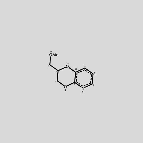 COCC1COc2ncccc2O1